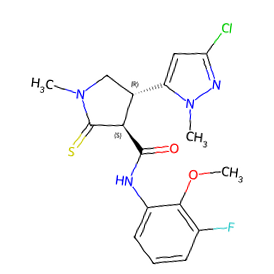 COc1c(F)cccc1NC(=O)[C@H]1C(=S)N(C)C[C@@H]1c1cc(Cl)nn1C